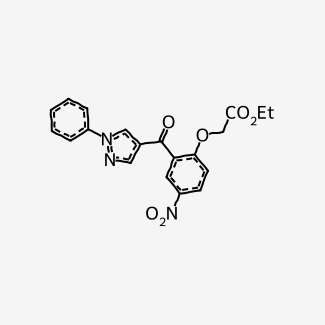 CCOC(=O)COc1ccc([N+](=O)[O-])cc1C(=O)c1cnn(-c2ccccc2)c1